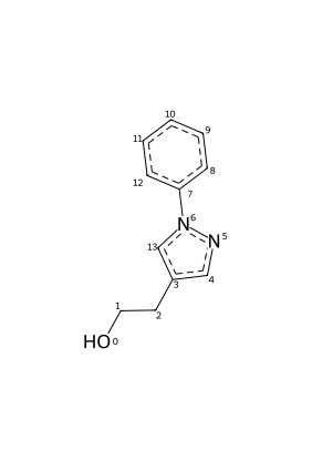 OCCc1cnn(-c2ccccc2)c1